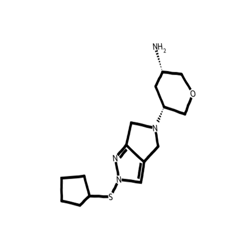 N[C@@H]1COC[C@H](N2Cc3cn(SC4CCCC4)nc3C2)C1